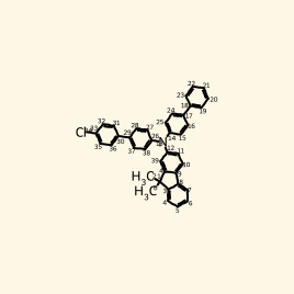 CC1(C)c2ccccc2-c2ccc(N(c3ccc(-c4ccccc4)cc3)c3ccc(-c4ccc(Cl)cc4)cc3)cc21